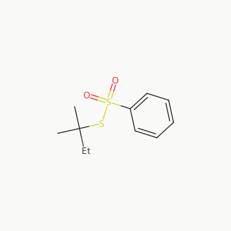 CCC(C)(C)SS(=O)(=O)c1ccccc1